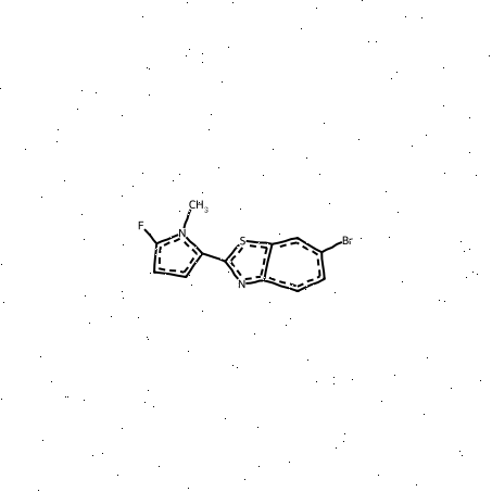 Cn1c(F)ccc1-c1nc2ccc(Br)cc2s1